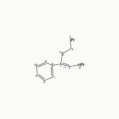 CCC/C=C(\SCC(C)C)c1ccccc1